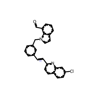 O=Cc1cccc2ccn(Cc3cccc(/C=C/c4ccc5ccc(Cl)cc5n4)c3)c12